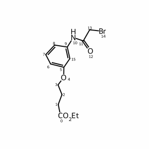 CCOC(=O)CCCOc1cccc(NC(=O)CBr)c1